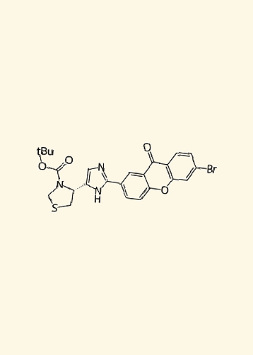 CC(C)(C)OC(=O)N1CSC[C@H]1c1cnc(-c2ccc3oc4cc(Br)ccc4c(=O)c3c2)[nH]1